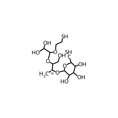 C[C@H](OC1OC(CS)C(O)C(O)C1O)C(CO)OC(OCCS)C(O)O